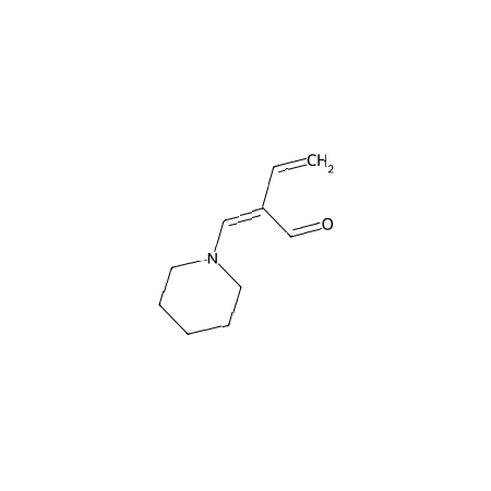 C=CC(C=O)=CN1CCCCC1